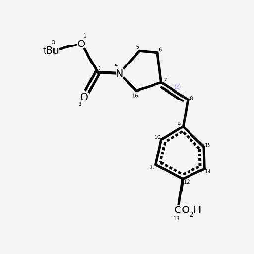 CC(C)(C)OC(=O)N1CC/C(=C/c2ccc(C(=O)O)cc2)C1